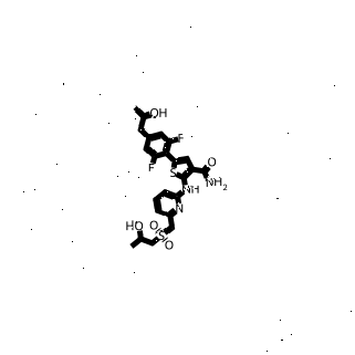 CC(O)Cc1cc(F)c(-c2cc(C(N)=O)c(Nc3cccc(CS(=O)(=O)CC(C)O)n3)s2)c(F)c1